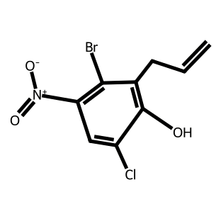 C=CCc1c(O)c(Cl)cc([N+](=O)[O-])c1Br